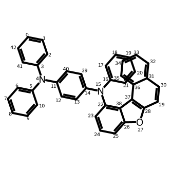 c1ccc(N(c2ccccc2)c2ccc(N(c3ccccc3)c3cccc4oc5ccc6ccccc6c5c34)cc2)cc1